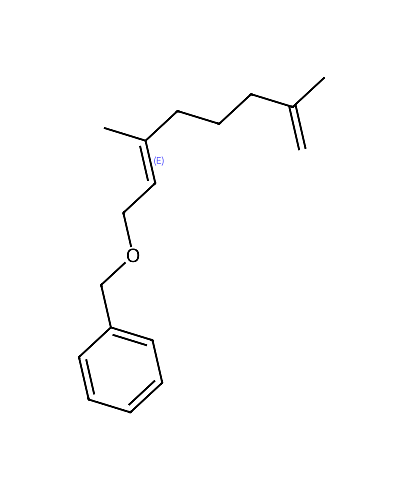 C=C(C)CCC/C(C)=C/COCc1ccccc1